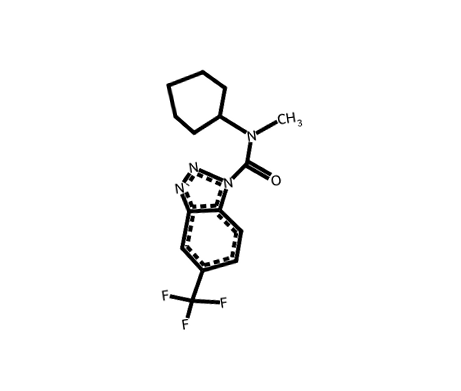 CN(C(=O)n1nnc2cc(C(F)(F)F)ccc21)C1CCCCC1